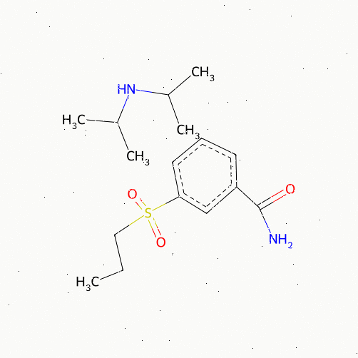 CC(C)NC(C)C.CCCS(=O)(=O)c1cccc(C(N)=O)c1